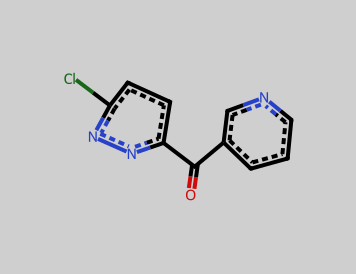 O=C(c1cccnc1)c1ccc(Cl)nn1